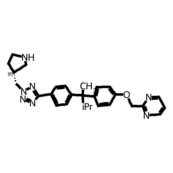 CC(C)C(C)(c1ccc(OCc2ncccn2)cc1)c1ccc(-c2nnn(C[C@@H]3CCNC3)n2)cc1